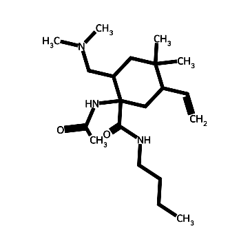 C=CC1CC(NC(C)=O)(C(=O)NCCCC)C(CN(C)C)CC1(C)C